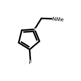 CNCI1=CC=C(F)C=1